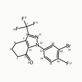 O=C1CCCc2c(C(F)(F)F)nn(-c3ccc(F)c(Br)c3)c21